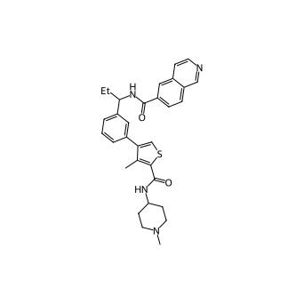 CCC(NC(=O)c1ccc2cnccc2c1)c1cccc(-c2csc(C(=O)NC3CCN(C)CC3)c2C)c1